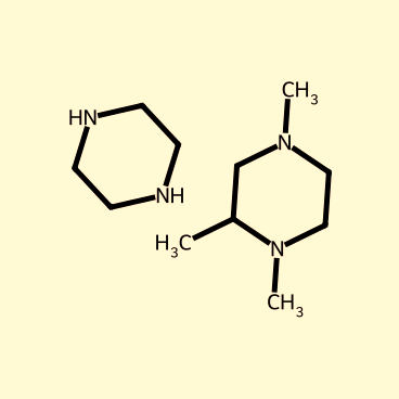 C1CNCCN1.CC1CN(C)CCN1C